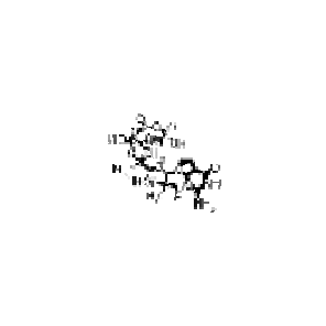 CC(C)(OP(=O)(O)OP(=O)(O)OP(=O)(O)O)[C@H](O)O[C@@H](n1ccc2c(=O)[nH]c(N)nc21)[C@@](C)(F)CF